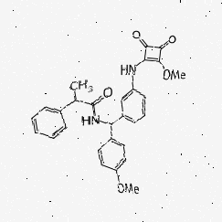 COc1ccc(C(NC(=O)C(C)c2ccccc2)c2cccc(Nc3c(OC)c(=O)c3=O)c2)cc1